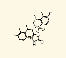 Cc1ccc(F)c([C@@H](C)[C@@H](c2n[nH]c(=O)o2)N2CN(C)c3c(ccc(Cl)c3C)S2(=O)=O)c1C